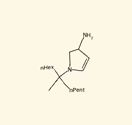 CCCCCCC(C)(CCCCC)N1C=CC(N)C1